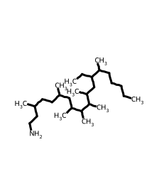 CCCCCC(C)C(CC)CC(C)C(C)C(C)C(C)CC(C)CCC(C)CCN